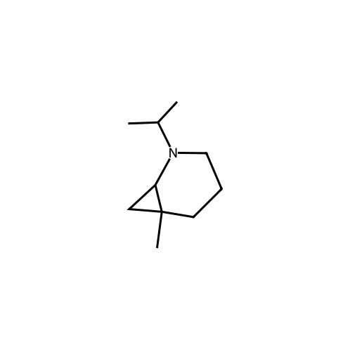 CC(C)N1CCCC2(C)CC12